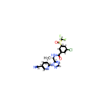 C[C@H](NC(=O)c1cc(Cl)cc([S+]([O-])C(F)F)c1)c1ncnn1-c1ccc(C#N)cn1